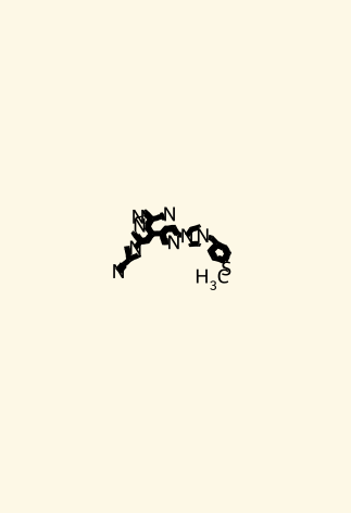 CSc1ccc(CN2CCN(c3ccc(-c4cc(N5CC(C#N)C5)cn5ncc(C#N)c45)cn3)CC2)cc1